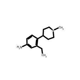 CCc1cc(N)ccc1C1CCN(C)CC1